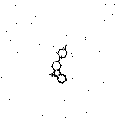 CN1CCN(C2CCc3[nH]c4ccccc4c3C2)CC1